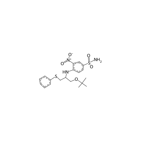 CC(C)(C)OCC(CSc1ccccc1)Nc1ccc(S(N)(=O)=O)cc1[N+](=O)[O-]